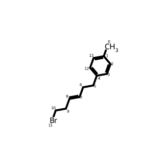 Cc1ccc(CCC=CCCBr)cc1